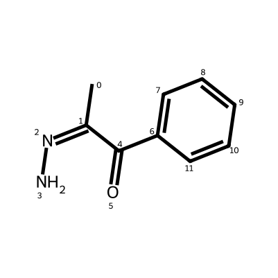 C/C(=N/N)C(=O)c1ccccc1